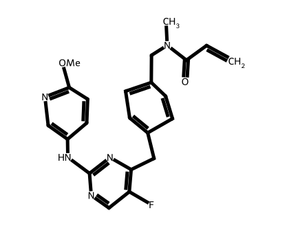 C=CC(=O)N(C)Cc1ccc(Cc2nc(Nc3ccc(OC)nc3)ncc2F)cc1